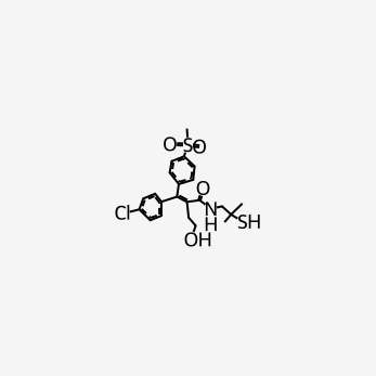 CC(C)(S)CNC(=O)/C(CCO)=C(/c1ccc(Cl)cc1)c1ccc(S(C)(=O)=O)cc1